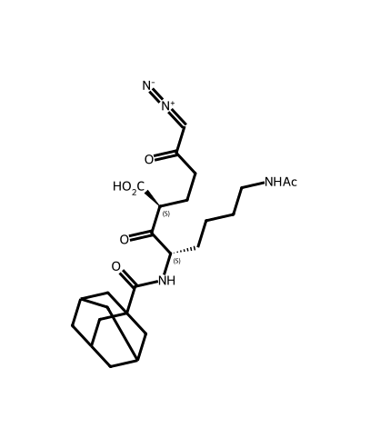 CC(=O)NCCCC[C@H](NC(=O)C12CC3CC(CC(C3)C1)C2)C(=O)[C@H](CCC(=O)C=[N+]=[N-])C(=O)O